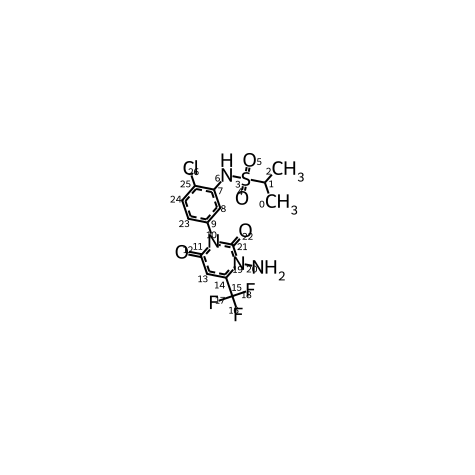 CC(C)S(=O)(=O)Nc1cc(-n2c(=O)cc(C(F)(F)F)n(N)c2=O)ccc1Cl